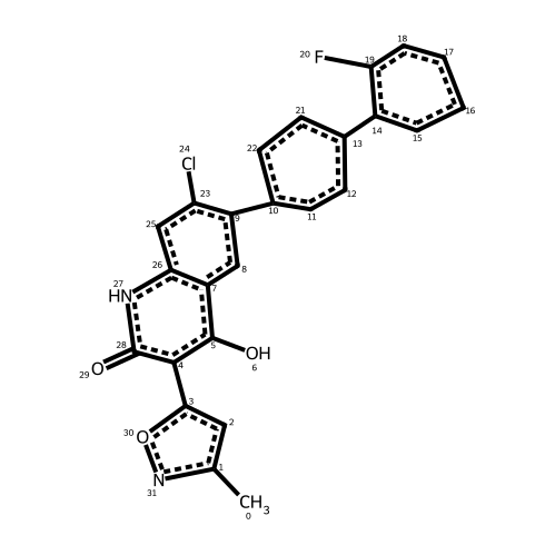 Cc1cc(-c2c(O)c3cc(-c4ccc(-c5ccccc5F)cc4)c(Cl)cc3[nH]c2=O)on1